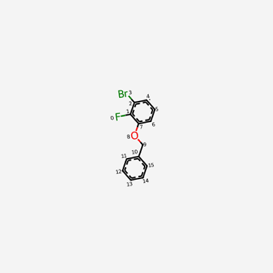 Fc1c(Br)[c]ccc1OCc1ccccc1